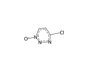 [O-][n+]1ccc(Cl)nn1